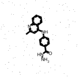 Cc1cc(Nc2ccc(C(=O)NN)cc2)c2ccccc2n1